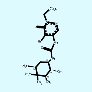 C[C@@H]1[C@@H](C)C(C)(C)[C@@H](C)C[C@H]1NC(=O)Nc1cnn(CC(=O)O)c(=O)c1Br